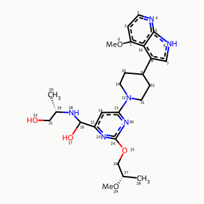 COc1ccnc2[nH]cc(C3CCN(c4cc(C(O)N[C@@H](C)CO)nc(OC[C@H](C)OC)n4)CC3)c12